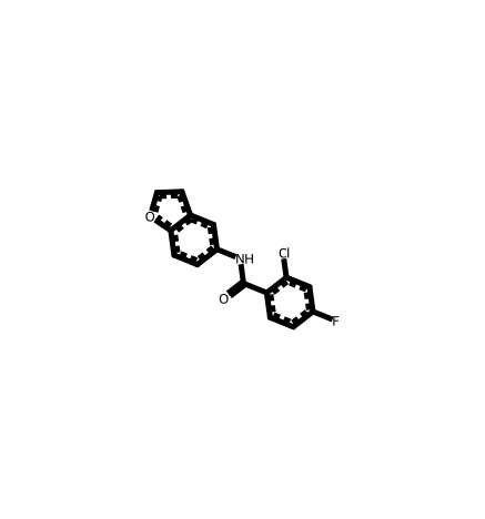 O=C(Nc1ccc2occc2c1)c1ccc(F)cc1Cl